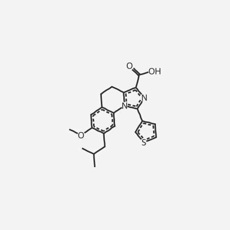 COc1cc2c(cc1CC(C)C)-n1c(-c3ccsc3)nc(C(=O)O)c1CC2